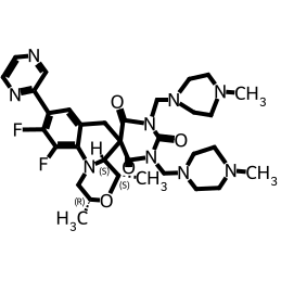 C[C@@H]1CN2c3c(cc(-c4cnccn4)c(F)c3F)CC3(C(=O)N(CN4CCN(C)CC4)C(=O)N(CN4CCN(C)CC4)C3=O)[C@H]2[C@H](C)O1